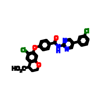 O=C(Nc1ncc(-c2cccc(Cl)c2)cn1)c1ccc(Oc2cc3c(cc2Cl)C(C(=O)O)CCO3)cc1